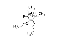 C=C(CC)/C(F)=C(OCCC)\C(=C/CCC)[C@@H](C)CC